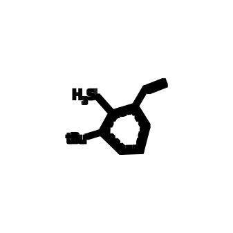 C=Cc1cccc(C(C)(C)C)c1[SiH3]